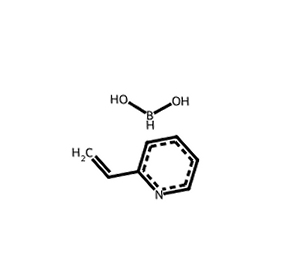 C=Cc1ccccn1.OBO